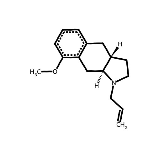 C=CCN1CC[C@H]2Cc3cccc(OC)c3C[C@@H]21